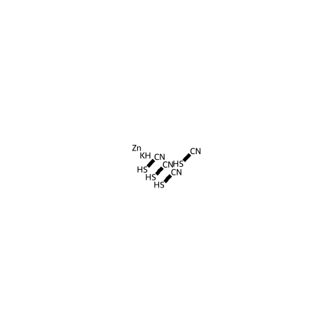 N#CS.N#CS.N#CS.N#CS.[KH].[Zn]